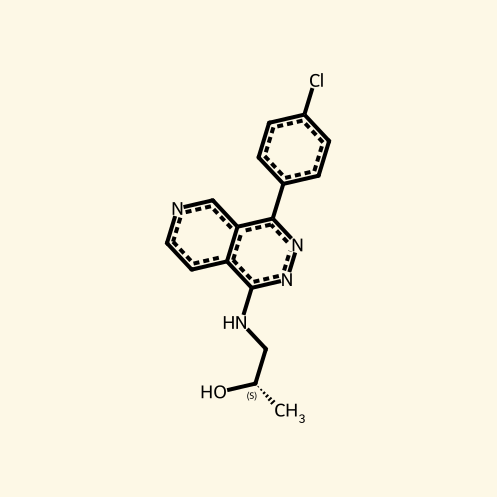 C[C@H](O)CNc1nnc(-c2ccc(Cl)cc2)c2cnccc12